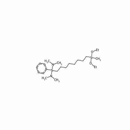 CCO[Si](C)(CCCCCCCC[Si](c1ccccc1)(N(C)C)N(C)C)OCC